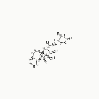 O=C(NCc1ccc(F)cc1F)C1=CN2C(=C(O)C1O)C(=O)N1C(=O)C2CCc2ccccc21